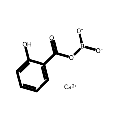 O=C(OB([O-])[O-])c1ccccc1O.[Ca+2]